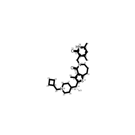 Cc1cc(C)c(CN2CCCc3sc([C@H](C)C4CCN(CC5CCC5)CC4)c(C)c3C2=O)c(=O)[nH]1